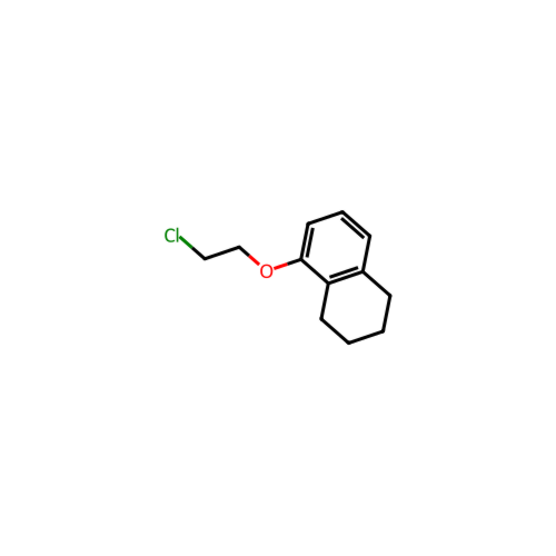 ClCCOc1cccc2c1CCCC2